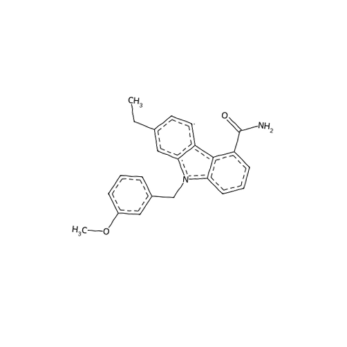 CCc1c[c]c2c3c(C(N)=O)cccc3n(Cc3cccc(OC)c3)c2c1